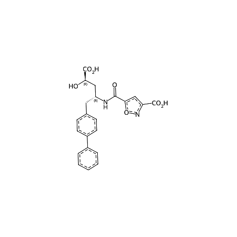 O=C(O)c1cc(C(=O)N[C@H](Cc2ccc(-c3ccccc3)cc2)C[C@@H](O)C(=O)O)on1